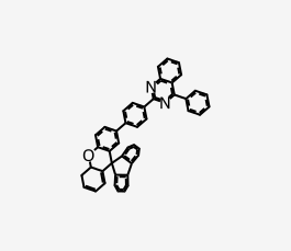 C1=CCC2Oc3ccc(-c4ccc(-c5nc(-c6ccccc6)c6ccccc6n5)cc4)cc3C3(C2=C1)c1ccccc1-c1ccccc13